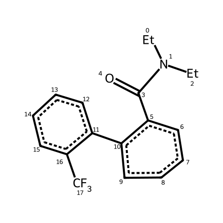 CCN(CC)C(=O)c1ccccc1-c1ccccc1C(F)(F)F